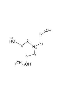 C.OCCN(CCO)CCO